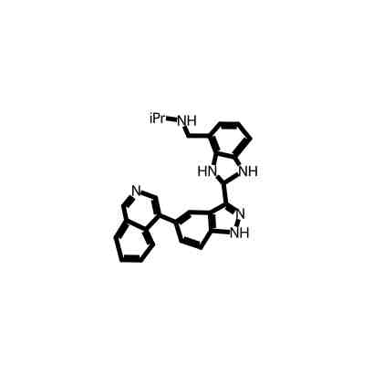 CC(C)NCc1cccc2c1NC(c1n[nH]c3ccc(-c4cncc5ccccc45)cc13)N2